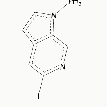 Pn1ccc2cc(I)ncc21